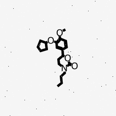 CCCCN1CCC(c2ccc(OC)c(OC3CCCC3)c2)OC1=O